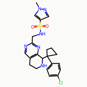 Cn1cc(S(=O)(=O)NCc2ncc3c(n2)C(C2(c4ccc(Cl)cc4)CCC2)NCC3)cn1